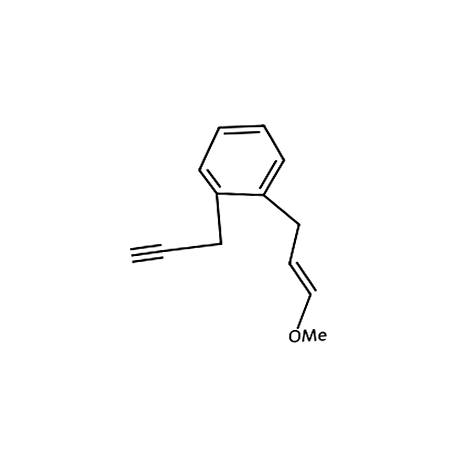 C#CCc1ccccc1C/C=C/OC